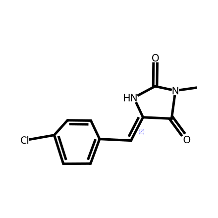 CN1C(=O)N/C(=C\c2ccc(Cl)cc2)C1=O